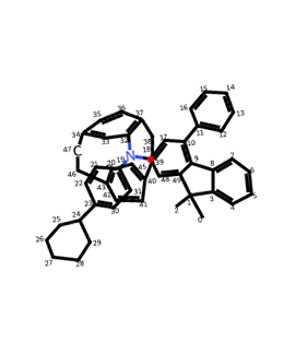 CC1(C)c2ccccc2-c2c(-c3ccccc3)cc(N(c3ccc(C4CCCCC4)cc3)c3cc4ccc3CCc3ccc(cc3)CC4)cc21